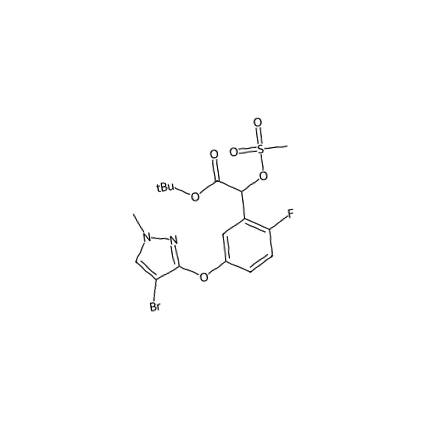 Cn1cc(Br)c(Oc2ccc(F)c(C(OS(C)(=O)=O)C(=O)OC(C)(C)C)c2)n1